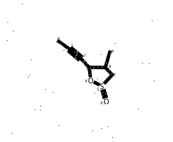 CC#CC1OS(=O)CC1C